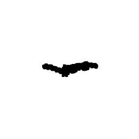 CCCCCCCCCc1cnc(-c2ccc(OC[C@H]3CC[C@H](CCCC)CC3)cc2)cn1